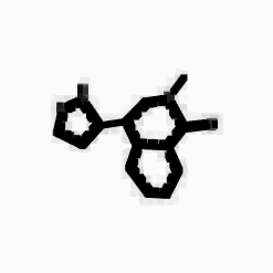 Cn1cc(-c2ccn[nH]2)c2ccccc2c1=O